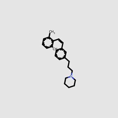 Cc1cccc(C)c1/C=C\c1cccc(CCCN2CCCCC2)c1